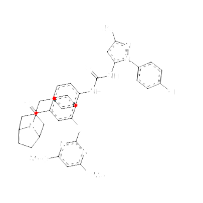 COc1cc(OC)nc(Oc2cccc(C(=O)N3C4CCC3CC(Cc3ccc(NC(=O)Nc5cc(C(C)(C)C)nn5-c5ccc(C)cc5)cc3)C4)c2)n1